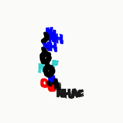 CC(=O)NC[C@H]1CN(c2cc(F)c(-c3ccc(CNCc4cnn[nH]4)cc3)c(F)c2)C(=O)O1